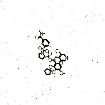 COc1ccc([C@H](Cc2c(Cl)cncc2Cl)OC(=O)[C@@H]2CCCN2S(=O)(=O)c2cccc(C(=O)N(C)C)c2)c2c1OC1(CCCC1)O2